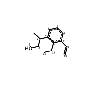 [CH2]C(CO)c1cccc(C=C)c1CC